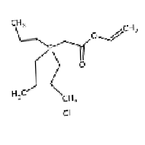 C=COC(=O)C[P+](CCC)(CCC)CCC.[Cl-]